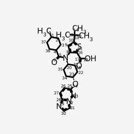 CC1CCC(C(=O)N(c2cc(C(C)(C)C)sc2C(=O)O)[C@H]2CC[C@H](Oc3ccc4nccn4n3)CC2)CC1